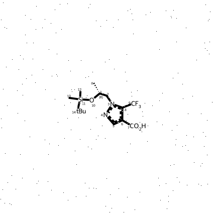 C[C@H](Cn1ncc(C(=O)O)c1C(F)(F)F)O[Si](C)(C)C(C)(C)C